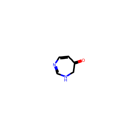 O=C1C=CN=CNC1